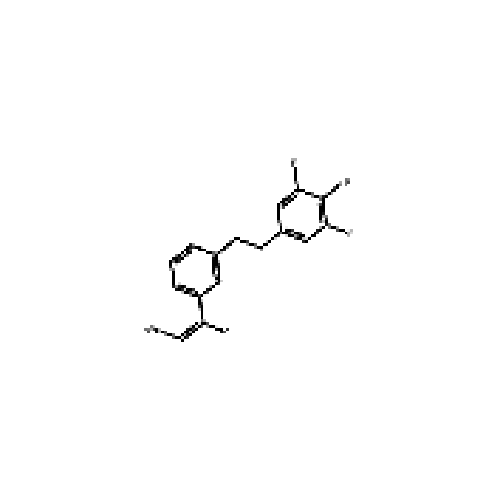 CCCC/C=C(/F)c1cccc(CCc2cc(F)c(CCC)c(F)c2)c1